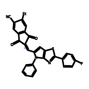 CCc1cc2c(cc1C#N)C(=O)/C(=C/c1cc3sc(-c4ccc(F)cc4)nc3n1-c1ccccc1)C2=O